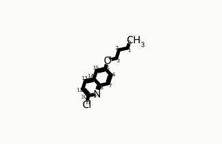 CCCCOc1ccc2nc(Cl)ccc2c1